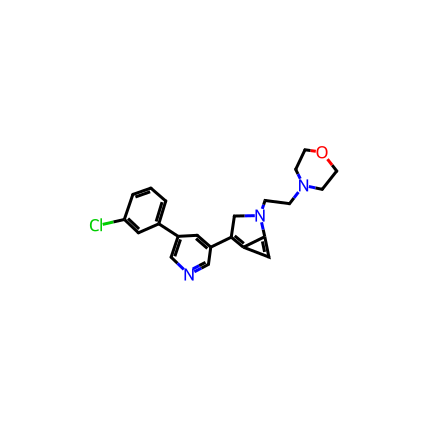 Clc1cccc(-c2cncc(C3=C4C=C4N(CCN4CCOCC4)C3)c2)c1